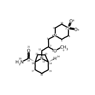 COC(CN1CCS(=O)(=O)CC1)CN1[C@@H]2C[CH]C[C@@]1(C(N)=O)CC2